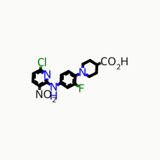 O=C(O)C1CCN(c2ccc(Nc3nc(Cl)ccc3[N+](=O)[O-])cc2F)CC1